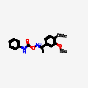 CCCCOc1cc(/C(C)=N/OC(=O)Nc2ccccc2)ccc1OC